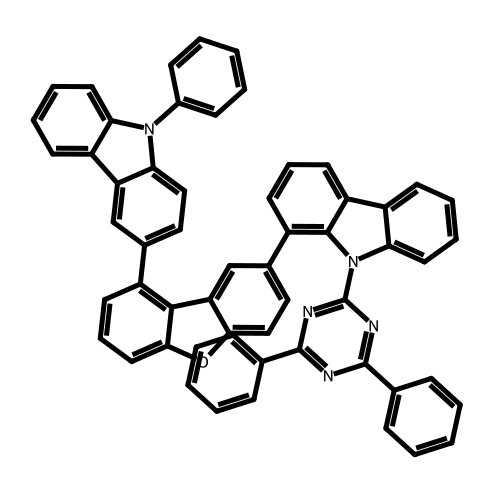 c1ccc(-c2nc(-c3ccccc3)nc(-n3c4ccccc4c4cccc(-c5ccc6oc7cccc(-c8ccc9c(c8)c8ccccc8n9-c8ccccc8)c7c6c5)c43)n2)cc1